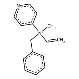 C=C[N+](C)(Cc1ccccc1)c1ccncc1